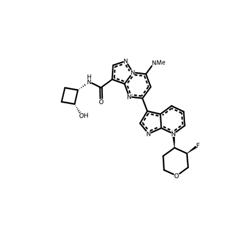 CNc1cc(-c2cnc3n([C@@H]4CCOC[C@@H]4F)cccc2-3)nc2c(C(=O)N[C@H]3CC[C@H]3O)cnn12